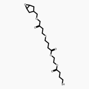 O=C(CCSCCCC(=O)OCCOC(=O)CCCS)COCC1CC2OC2C1